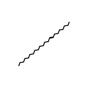 CCCCCCCC=CCCCCCCCCCCCCC